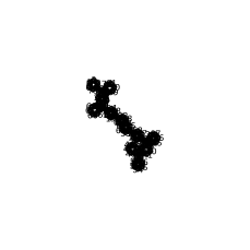 C1=CCCC(n2c3c(c4cc5c(cc42)c2c(n5-c4ccc(-c5ccc6cc(-c7ccc(-n8c9c(c%10ccccc%108)CCC8=C9C9C=CCCC9N8c8ccccc8)cc7)ccc6c5)cc4)C=CCC2)CCC=C3)=C1